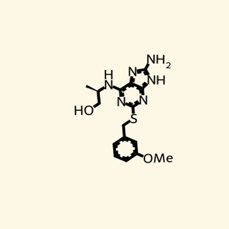 COc1cccc(CSc2nc(N[C@H](C)CO)c3nc(N)[nH]c3n2)c1